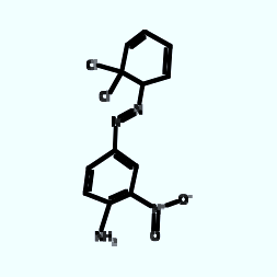 Nc1ccc(N=NC2C=CC=CC2(Cl)Cl)cc1[N+](=O)[O-]